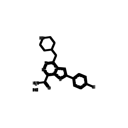 Cl.NC(=O)c1nnc(CC2CCNCC2)c2cc(-c3ccc(Cl)cc3)sc12